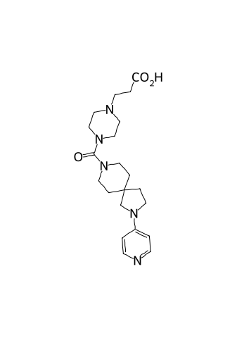 O=C(O)CCN1CCN(C(=O)N2CCC3(CC2)CCN(c2ccncc2)C3)CC1